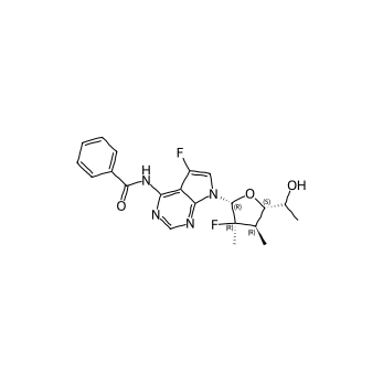 CC(O)[C@H]1O[C@@H](n2cc(F)c3c(NC(=O)c4ccccc4)ncnc32)[C@](C)(F)[C@@H]1C